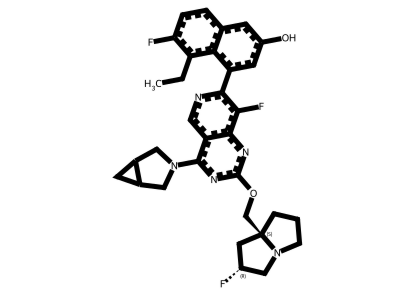 CCc1c(F)ccc2cc(O)cc(-c3ncc4c(N5CC6CC6C5)nc(OC[C@@]56CCCN5C[C@H](F)C6)nc4c3F)c12